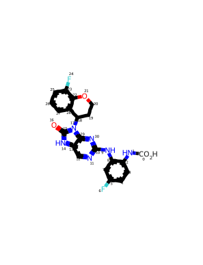 O=C(O)Nc1ccc(F)cc1Nc1ncc2[nH]c(=O)n(C3CCOc4c(F)cccc43)c2n1